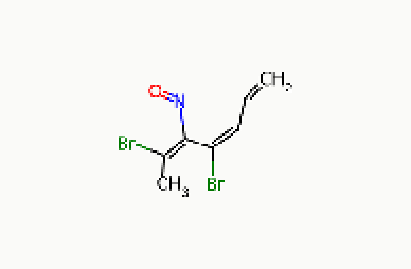 C=C/C=C(Br)\C(N=O)=C(/C)Br